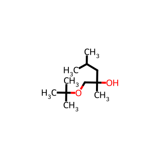 CC(C)CC(C)(O)COC(C)(C)C